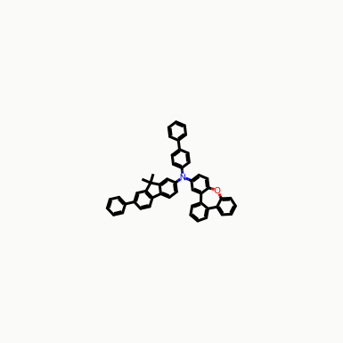 CC1(C)c2cc(-c3ccccc3)ccc2-c2ccc(N(c3ccc(-c4ccccc4)cc3)c3ccc4c(c3)-c3ccccc3-c3ccccc3O4)cc21